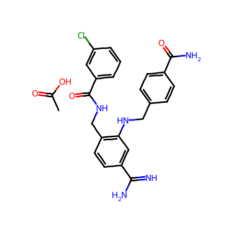 CC(=O)O.N=C(N)c1ccc(CNC(=O)c2cccc(Cl)c2)c(NCc2ccc(C(N)=O)cc2)c1